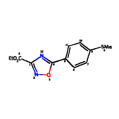 CCOC(=O)c1noc(-c2ccc(SC)cc2)n1